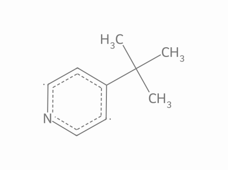 CC(C)(C)c1[c]cn[c]c1